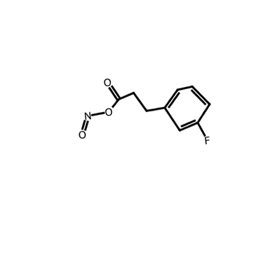 O=NOC(=O)CCc1cccc(F)c1